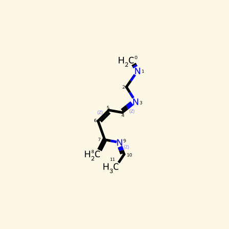 C=NC/N=C\C=C/C(=C)/N=C\C